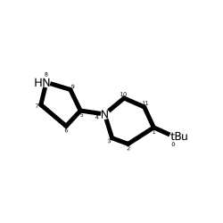 CC(C)(C)C1CCN(C2CCNC2)CC1